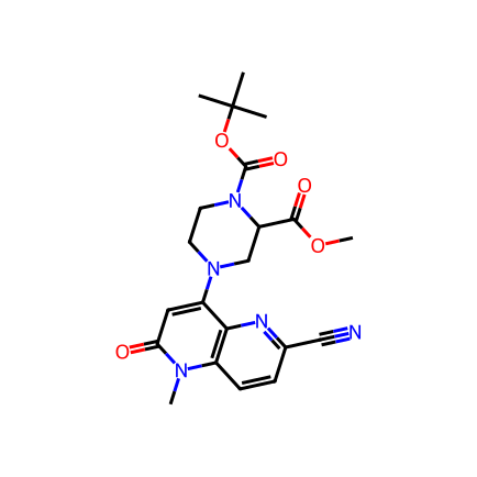 COC(=O)C1CN(c2cc(=O)n(C)c3ccc(C#N)nc23)CCN1C(=O)OC(C)(C)C